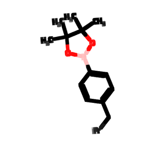 CC(C)Cc1ccc(B2OC(C)(C)C(C)(C)O2)cc1